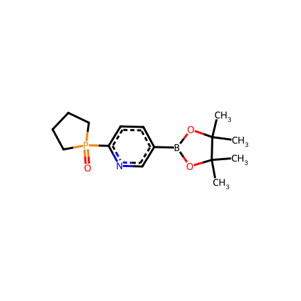 CC1(C)OB(c2ccc(P3(=O)CCCC3)nc2)OC1(C)C